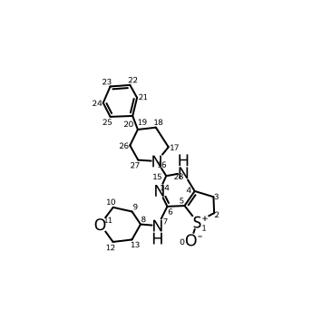 [O-][S+]1CCC2=C1C(NC1CCOCC1)=NC(N1CCC(c3ccccc3)CC1)N2